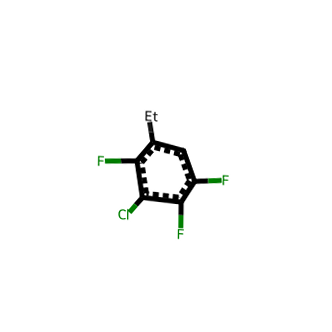 [CH2]Cc1cc(F)c(F)c(Cl)c1F